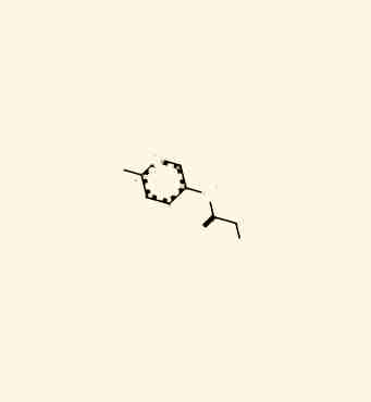 CCC(=O)Oc1ccc(Br)nc1